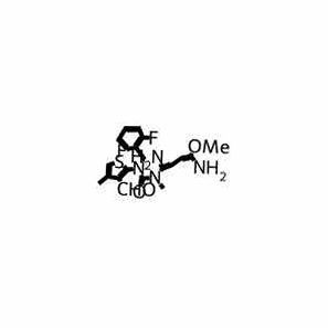 CO/C(N)=C/C=C(\N)N(C)C(=O)N(Cc1c(F)cccc1F)c1scc(C)c1C=O